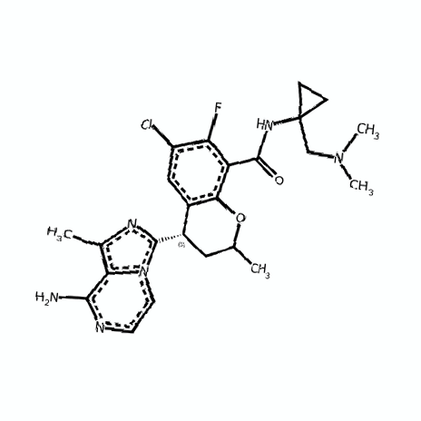 Cc1nc([C@H]2CC(C)Oc3c2cc(Cl)c(F)c3C(=O)NC2(CN(C)C)CC2)n2ccnc(N)c12